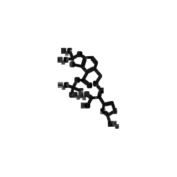 CC(C)(C)OC(=O)c1c(CON=C(C(=O)O)c2csc(N)n2)ccc2c1OC(C)(C)O2